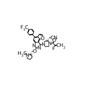 C=C(F)C(=O)N1CCN(c2nc(OC[C@@H]3CCCN3C)nc3cc(-c4ccc(C(F)(F)F)cc4)c4ccoc4c23)C[C@@H]1CC#N